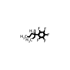 BC(CC)(CCC)c1c(F)c(F)c(F)c(F)c1F